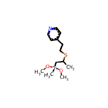 C[O][Ti]([CH3])([CH2]C(C)SCCc1ccncc1)[O]C